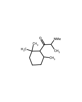 CNC(C)C(=O)C1C(C)CCCC1(C)C